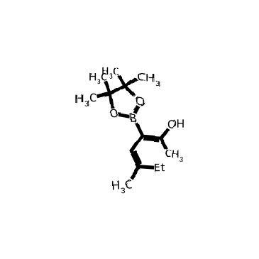 CC/C(C)=C\C(B1OC(C)(C)C(C)(C)O1)=C(/C)O